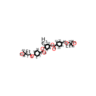 CCC1(CCOc2ccc(C(=O)Oc3ccc(OC(=O)c4ccc(COCC5(CC)COC5)cc4)cc3C)cc2)COC1